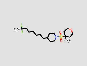 O=C(O)C1(S(=O)(=O)N2CCC(CCCCCCC(F)(F)C(F)(F)F)CC2)CCOCC1